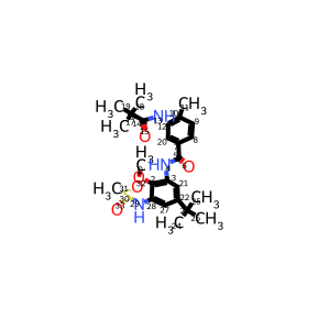 COc1c(NC(=O)c2ccc(C)c(NC(=O)C(C)(C)C)c2)cc(C(C)(C)C)cc1NS(C)(=O)=O